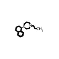 CCCN1CCCN([C@H]2CCCc3ccccc32)CC1